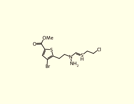 COC(=O)c1cc(Br)c(CCN(N)C=[SH]CCCl)s1